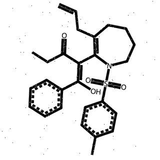 C=CCC1=C(C(C(=O)CC)=C(O)c2ccccc2)N(S(=O)(=O)c2ccc(C)cc2)CCCC1